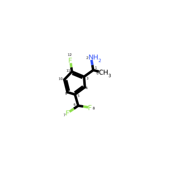 CC(N)c1cc(C(F)F)ccc1F